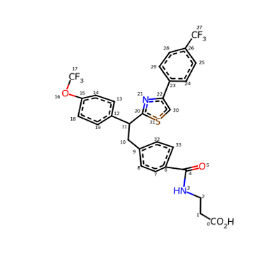 O=C(O)CCNC(=O)c1ccc(CC(c2ccc(OC(F)(F)F)cc2)c2nc(-c3ccc(C(F)(F)F)cc3)cs2)cc1